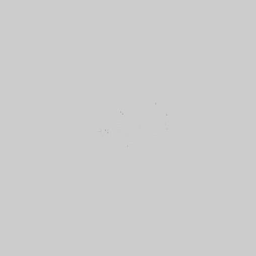 CN=C(N)C(=O)c1ccccc1